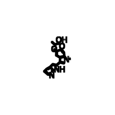 CC(Oc1ccc2c(c1)c(-c1cc3cccnc3[nH]1)cn2C)C(=O)O